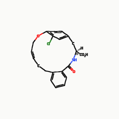 O=C1N[C@H](C(=O)O)Cc2ccc(c(Cl)c2)OCC=CCCc2ccccc21